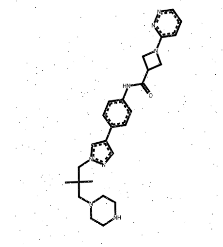 CC(C)(CN1CCNCC1)Cn1cc(-c2ccc(NC(=O)C3CN(c4cccnn4)C3)cc2)cn1